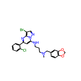 CN(CCCNc1cc(-c2ccccc2Cl)nc2c(Br)cnn12)Cc1ccc2c(c1)OCO2